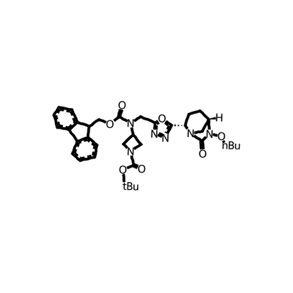 CCCCON1C(=O)N2C[C@@H]1CC[C@H]2c1nnc(CN(C(=O)OCC2c3ccccc3-c3ccccc32)C2CN(C(=O)OC(C)(C)C)C2)o1